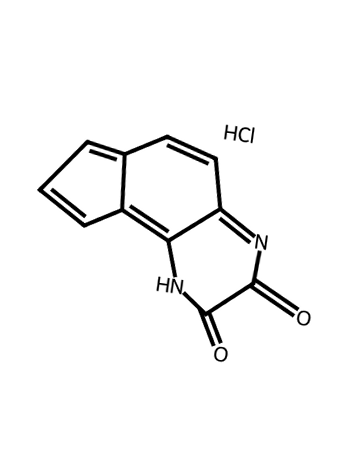 Cl.O=C1N=c2ccc3c(c2NC1=O)C=CC=3